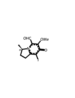 COc1c(C=O)n2c(c(I)c1=O)CC[C@H]2C